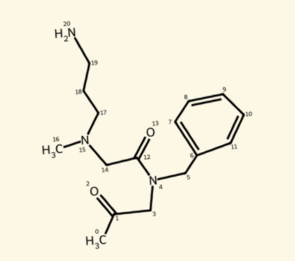 CC(=O)CN(Cc1ccccc1)C(=O)CN(C)CCCN